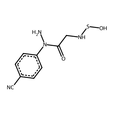 N#Cc1ccc(N(N)C(=O)CNSO)cc1